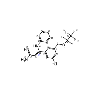 CC(C)(OCc1cc(Cl)cc(/C(=C/C(=N)N)Nc2ccccc2)c1)C(F)(F)F